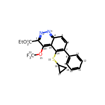 CCOC(=O)c1nnc2ccc(-c3ccccc3)c(SC3CC3)c2c1OC(F)(F)F